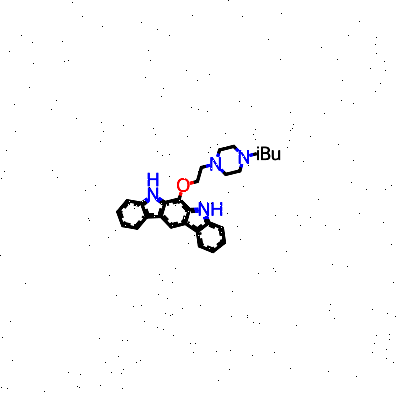 CCC(C)N1CCN(CCOc2c3[nH]c4ccccc4c3cc3c2[nH]c2ccccc23)CC1